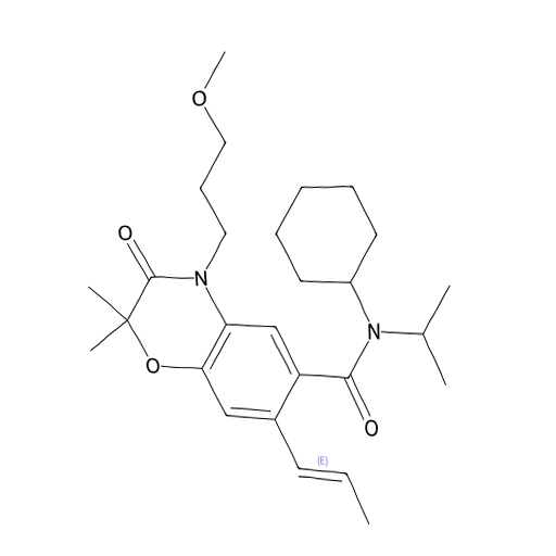 C/C=C/c1cc2c(cc1C(=O)N(C(C)C)C1CCCCC1)N(CCCOC)C(=O)C(C)(C)O2